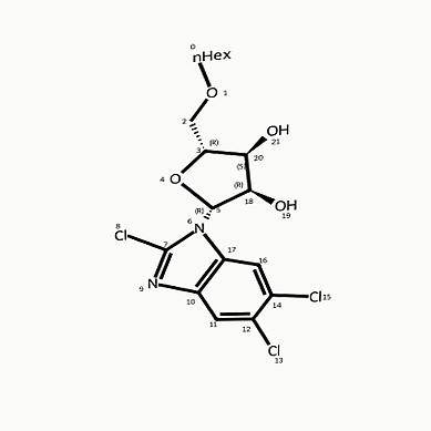 CCCCCCOC[C@H]1O[C@@H](n2c(Cl)nc3cc(Cl)c(Cl)cc32)[C@H](O)[C@@H]1O